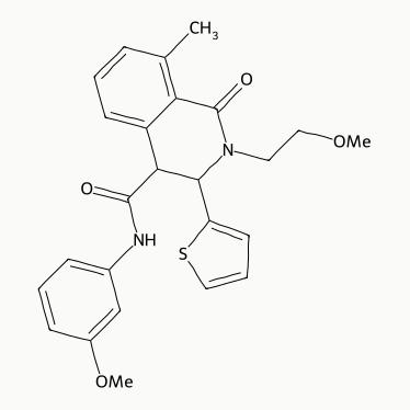 COCCN1C(=O)c2c(C)cccc2C(C(=O)Nc2cccc(OC)c2)C1c1cccs1